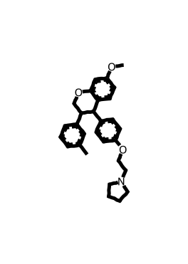 COc1ccc2c(c1)OCC(c1cccc(C)c1)C2c1ccc(OCCN2CCCC2)cc1